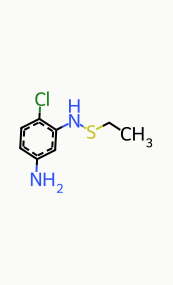 CCSNc1cc(N)ccc1Cl